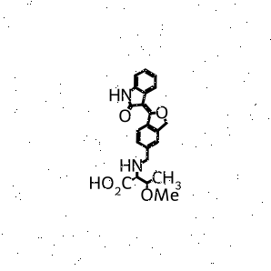 CO[C@H](C)[C@H](NCc1ccc2c(c1)COC2=C1C(=O)Nc2ccccc21)C(=O)O